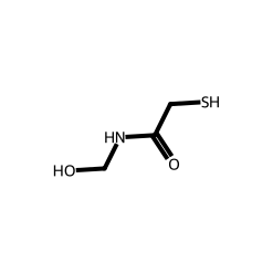 O=C(CS)NCO